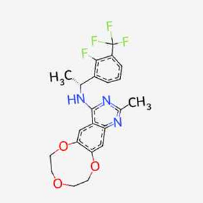 Cc1nc(N[C@H](C)c2cccc(C(F)(F)F)c2F)c2cc3c(cc2n1)OCCOCCO3